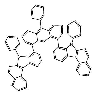 c1ccc(-c2c3cccc(-c4cccc5c6c7ccccc7ccc6n(-c6ccccc6)c45)c3cc3c(-c4cccc5c6c7ccccc7ccc6n(-c6ccccc6)c45)cccc23)cc1